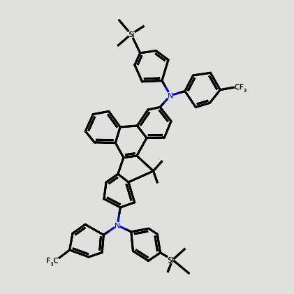 CC1(C)c2cc(N(c3ccc(C(F)(F)F)cc3)c3ccc([Si](C)(C)C)cc3)ccc2-c2c1c1ccc(N(c3ccc(C(F)(F)F)cc3)c3ccc([Si](C)(C)C)cc3)cc1c1ccccc21